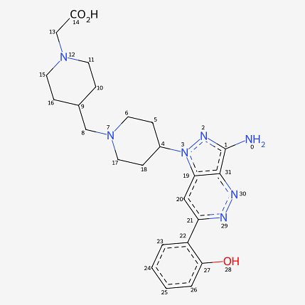 Nc1nn(C2CCN(CC3CCN(CC(=O)O)CC3)CC2)c2cc(-c3ccccc3O)nnc12